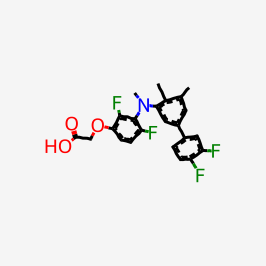 Cc1cc(-c2ccc(F)c(F)c2)cc(N(C)c2c(F)ccc(OCC(=O)O)c2F)c1C